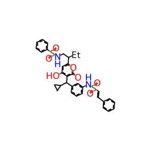 CCC(CNS(=O)(=O)c1ccccc1)c1cc(O)c(C(c2cccc(NS(=O)(=O)C=Cc3ccccc3)c2)C2CC2)c(=O)o1